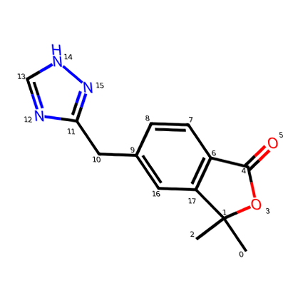 CC1(C)OC(=O)c2ccc(Cc3nc[nH]n3)cc21